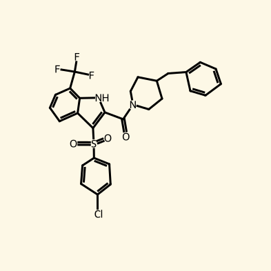 O=C(c1[nH]c2c(C(F)(F)F)cccc2c1S(=O)(=O)c1ccc(Cl)cc1)N1CCC(Cc2ccccc2)CC1